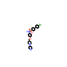 O=S(=O)(Nc1ccc(OCC2CCN(c3ccncc3)CC2)cc1)c1ccc(-c2ccc(Br)cc2)cc1